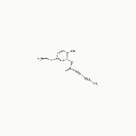 CC#CC#CC(=O)Oc1cc(CCN)ccc1O